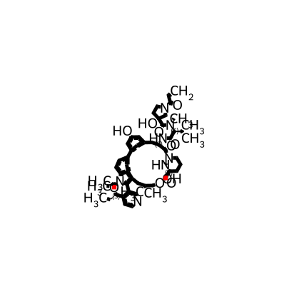 C=CC(=O)N1CCC(O)(C(=O)N(C)[C@H](C(=O)N[C@H]2Cc3cc(O)cc(c3)-c3ccc4c(c3)c(c(-c3cnccc3[C@H](CC)OC)n4CC)CC(C)(C)COC(=O)[C@@]3(O)CCCN(N3)C2=O)C(C)C)C1